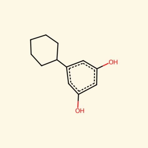 Oc1cc(O)cc(C2CCCCC2)c1